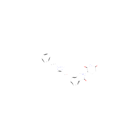 C[C@@H](Cc1ccccc1)n1cc(COc2cccc3c2CN(C2CCC(=O)NC2=O)C3=O)[nH]1